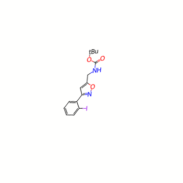 CC(C)(C)OC(=O)NCc1cc(-c2ccccc2I)no1